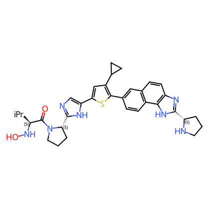 CC(C)[C@H](NO)C(=O)N1CCC[C@H]1c1ncc(-c2cc(C3CC3)c(-c3ccc4c(ccc5nc([C@@H]6CCCN6)[nH]c54)c3)s2)[nH]1